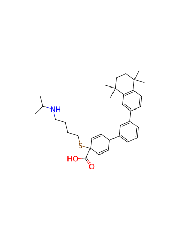 CC(C)NCCCCSC1(C(=O)O)C=CC(c2cccc(-c3ccc4c(c3)C(C)(C)CCC4(C)C)c2)C=C1